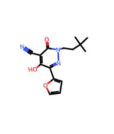 CC(C)(C)CCn1nc(-c2ccco2)c(O)c(C#N)c1=O